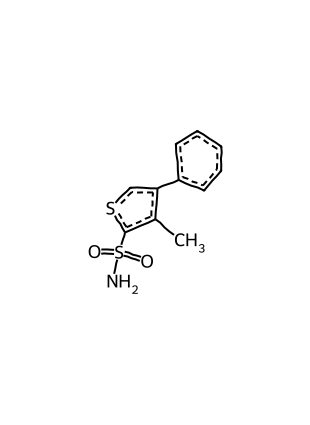 Cc1c(-c2ccccc2)csc1S(N)(=O)=O